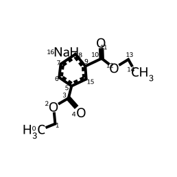 CCOC(=O)c1cccc(C(=O)OCC)c1.[NaH]